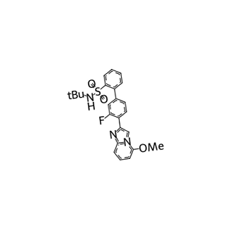 COc1cccc2nc(-c3ccc(-c4ccccc4S(=O)(=O)NC(C)(C)C)cc3F)cn12